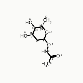 CC(=O)NOC1C[C@@H](O)[C@@H](O)[C@H](C)O1